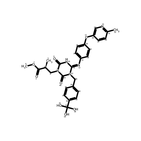 COC(=O)[C@@H](C)Cn1c(=O)[nH]/c(=N\c2ccc(Oc3ccc(C)nc3)cc2)n(Cc2ccc(C(O)(O)O)cc2)c1=O